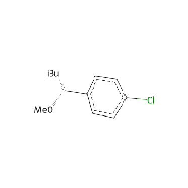 CC[C@@H](C)[C@@H](OC)c1ccc(Cl)cc1